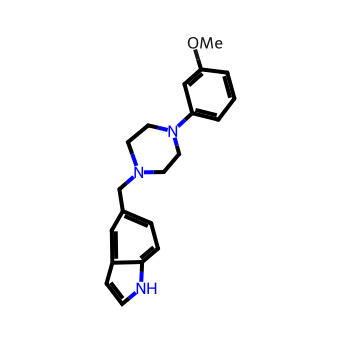 COc1cccc(N2CCN(Cc3ccc4[nH]ccc4c3)CC2)c1